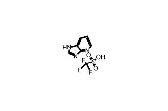 O=S(=O)(O)C(F)(F)F.c1cnc2nc[nH]c2c1